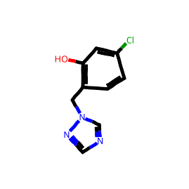 Oc1cc(Cl)ccc1Cn1cncn1